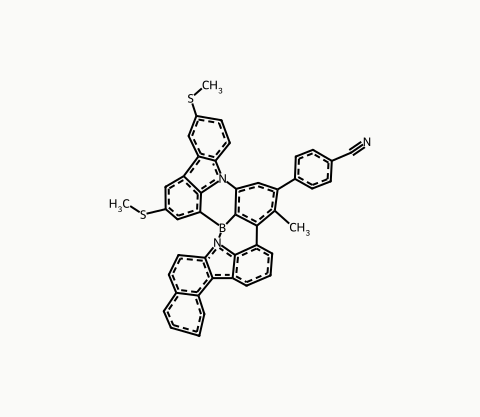 CSc1ccc2c(c1)c1cc(SC)cc3c1n2-c1cc(-c2ccc(C#N)cc2)c(C)c2c1B3n1c3ccc4ccccc4c3c3cccc-2c31